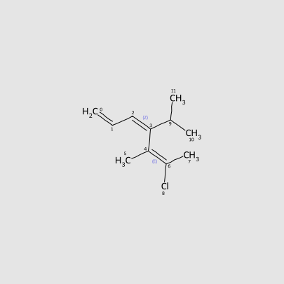 C=C/C=C(\C(C)=C(/C)Cl)C(C)C